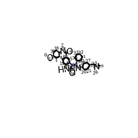 COc1ccc(N(C)C(=O)c2ccc3c(c2)/C(=C(/Nc2ccc(CN(C)C)cc2)c2ccccc2)C(=O)N3)cc1